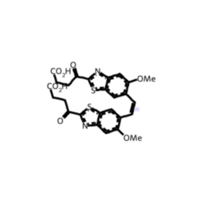 COc1cc2nc(C(=O)CCC(=O)O)sc2cc1/C=C\c1cc2sc(C(=O)CCC(=O)O)nc2cc1OC